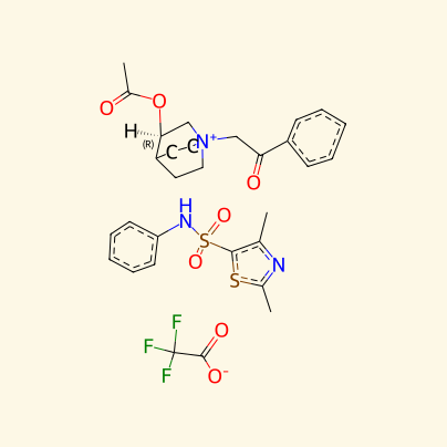 CC(=O)O[C@H]1C[N+]2(CC(=O)c3ccccc3)CCC1CC2.Cc1nc(C)c(S(=O)(=O)Nc2ccccc2)s1.O=C([O-])C(F)(F)F